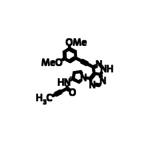 CC#CC(=O)N[C@@H]1CCN(c2ncnc3[nH]nc(C#Cc4cc(OC)cc(OC)c4)c23)C1